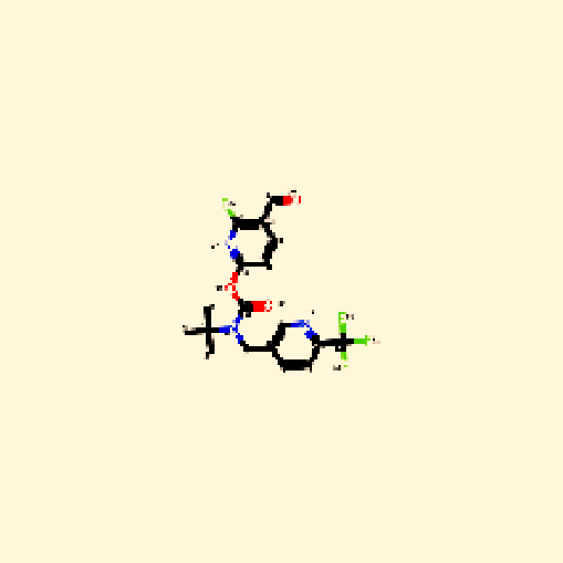 CC(C)(C)N(Cc1ccc(C(F)(F)F)nc1)C(=O)Oc1ccc(C=O)c(F)n1